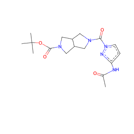 CC(=O)Nc1ccn(C(=O)N2CC3CN(C(=O)OC(C)(C)C)CC3C2)n1